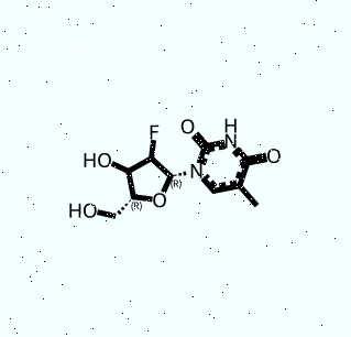 Cc1cn([C@@H]2O[C@H](CO)C(O)C2F)c(=O)[nH]c1=O